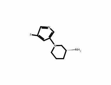 N[C@@H]1CCCN(c2cncc(F)c2)C1